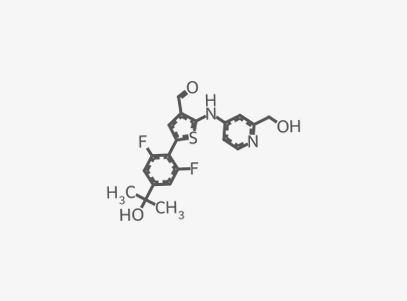 CC(C)(O)c1cc(F)c(-c2cc(C=O)c(Nc3ccnc(CO)c3)s2)c(F)c1